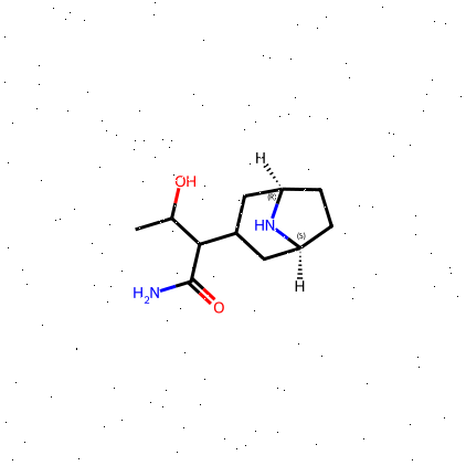 CC(O)C(C(N)=O)C1C[C@H]2CC[C@@H](C1)N2